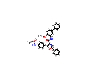 COc1ccc(-c2ccccc2)cc1NC(=O)c1nc(-c2ccccc2)oc1-c1ccc(NC(C)=O)cc1